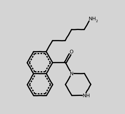 NCCCCc1ccc2ccccc2c1C(=O)N1CCNCC1